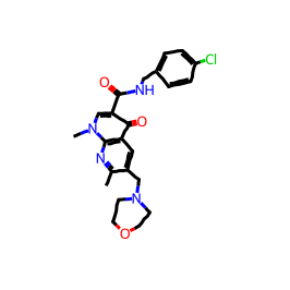 Cc1nc2c(cc1CN1CCOCC1)c(=O)c(C(=O)NCc1ccc(Cl)cc1)cn2C